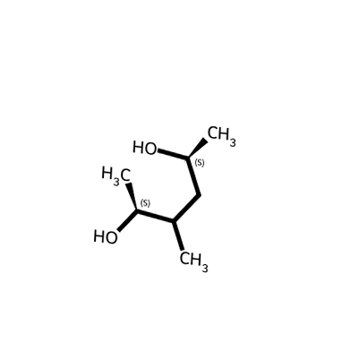 CC(C[C@H](C)O)[C@H](C)O